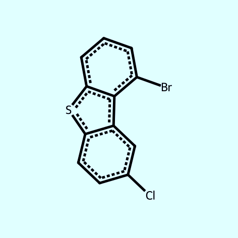 Clc1ccc2sc3cccc(Br)c3c2c1